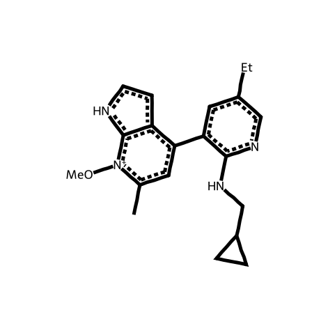 CCc1cnc(NCC2CC2)c(-c2cc(C)[n+](OC)c3[nH]ccc23)c1